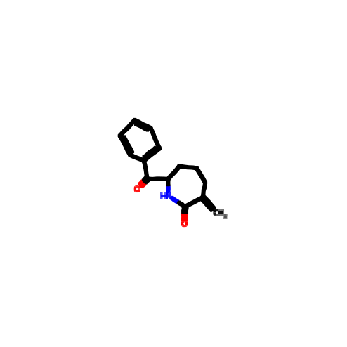 C=C1CCCC(C(=O)c2ccccc2)NC1=O